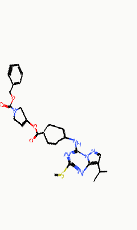 CSc1nc(NC2CCC(C(=O)OC3CCN(C(=O)OCc4ccccc4)C3)CC2)n2ncc(C(C)C)c2n1